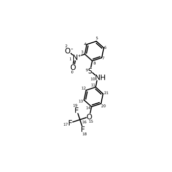 O=[N+]([O-])c1ccccc1SNc1ccc(OC(F)(F)F)cc1